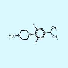 CC(C)c1cc(F)c(N2CCN(C)CC2)c(F)c1